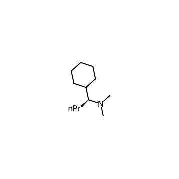 CCC[C@@H](C1CCCCC1)N(C)C